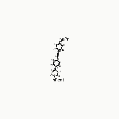 CCCCCC1CC=C(c2ccc(C#Cc3ccc(OCCC)cc3)cc2)CC1